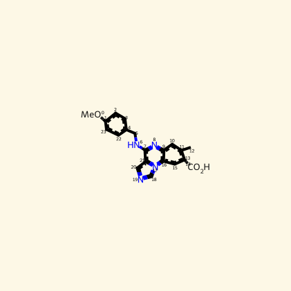 COc1ccc(CNc2nc3cc(C)c(C(=O)O)cc3n3cncc23)cc1